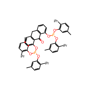 Cc1ccc(C(C)C)c(OP(Oc2cc(C)ccc2C(C)C)Oc2cccc3c2C(=O)c2c(cccc2OP(Oc2cc(C)ccc2C(C)C)Oc2cc(C)ccc2C(C)C)C3)c1